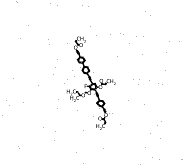 C=CC(=C)OCOc1c(F)c(C#Cc2ccc(-c3ccc(C#COC(=O)C=C)cc3)cc2)cc(OC(=O)C=C)c1C#Cc1ccc(C#COC(=O)C=C)cc1